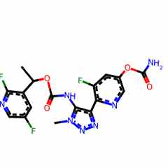 CC(OC(=O)Nc1c(-c2ncc(OC(N)=O)cc2F)nnn1C)c1cc(F)cnc1F